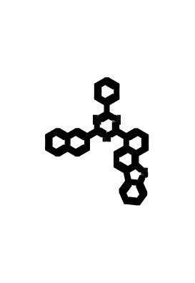 c1ccc(-c2nc(-c3ccc4ccccc4c3)nc(-c3cccc4c3ccc3c5ccccc5sc43)n2)cc1